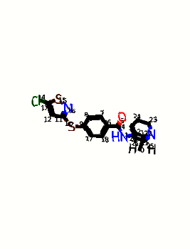 C[C@H]1[C@H](NC(=O)c2ccc(Sc3cc(Cl)sn3)cc2)C2CCN1CC2